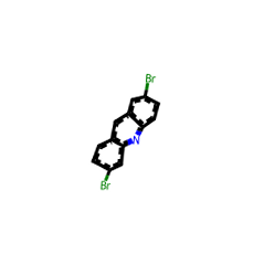 Brc1ccc2nc3cc(Br)ccc3cc2c1